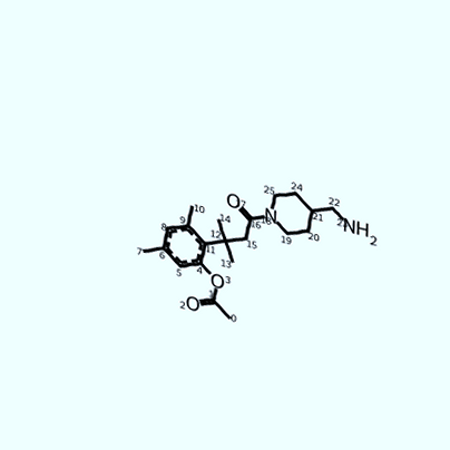 CC(=O)Oc1cc(C)cc(C)c1C(C)(C)CC(=O)N1CCC(CN)CC1